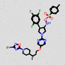 Cc1ccc(S(=O)(=O)ONC2CN(c3ncc(OCC[C@@H](C)C4CCN(c5nc(C(C)C)no5)CC4)cn3)CC2c2cc(F)c(F)cc2F)cc1